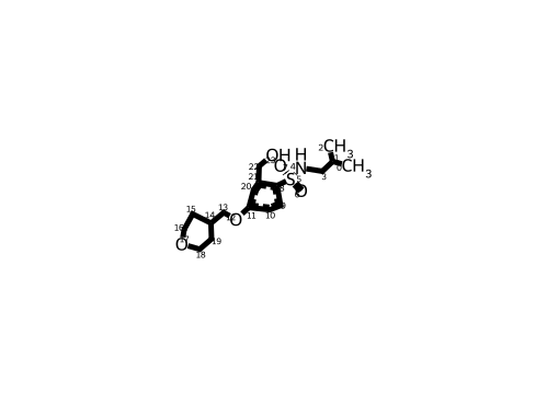 CC(C)CNS(=O)(=O)c1ccc(OCC2CCOCC2)cc1CO